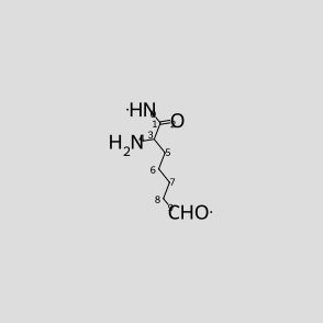 [NH]C(=O)C(N)CCCC[C]=O